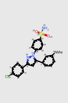 CNc1cccc(-c2cc(-c3ccc(Cl)cc3)nn2-c2ccc(S(N)(=O)=O)cc2)c1